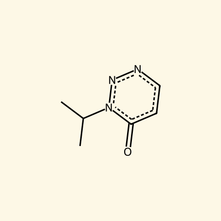 CC(C)n1nnccc1=O